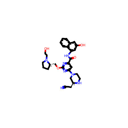 N#CC[C@H]1CN(c2cc(C(=O)Nc3cc(O)cc4ccccc34)nc(OC[C@@H]3CCCN3CCO)n2)CCN1